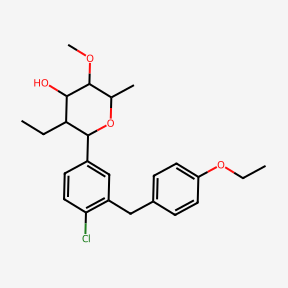 CCOc1ccc(Cc2cc(C3OC(C)C(OC)C(O)C3CC)ccc2Cl)cc1